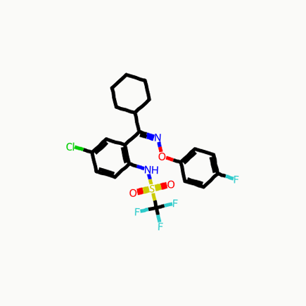 O=S(=O)(Nc1ccc(Cl)cc1/C(=N\Oc1ccc(F)cc1)C1CCCCC1)C(F)(F)F